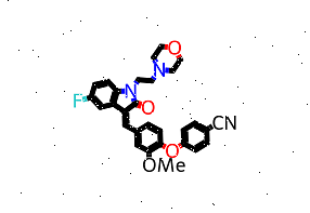 COc1cc(C=C2C(=O)N(CCN3CCOCC3)c3ccc(F)cc32)ccc1Oc1ccc(C#N)cc1